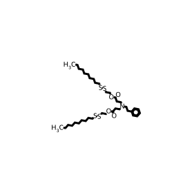 CCCCCCCCCCSSCCOC(=O)CCN(CCC(=O)OCCSSCCCCCCCCCC)CCc1ccccc1